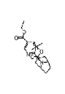 CCOC(=O)c1cnc(N2CC3CCC(C2)N3C(=O)OC(C)(C)C)nc1